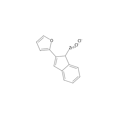 [Cl-].[Cl-].[Zr+2][CH]1C(c2ccco2)=Cc2ccccc21